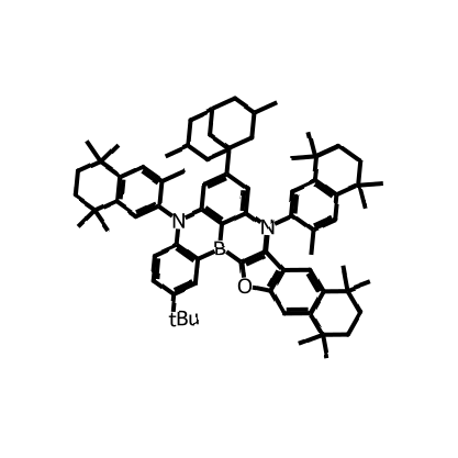 Cc1cc2c(cc1N1c3ccc(C(C)(C)C)cc3B3c4oc5cc6c(cc5c4N(c4cc5c(cc4C)C(C)(C)CCC5(C)C)c4cc(C57CC(C)CC(CC(C)C5)C7)cc1c43)C(C)(C)CCC6(C)C)C(C)(C)CCC2(C)C